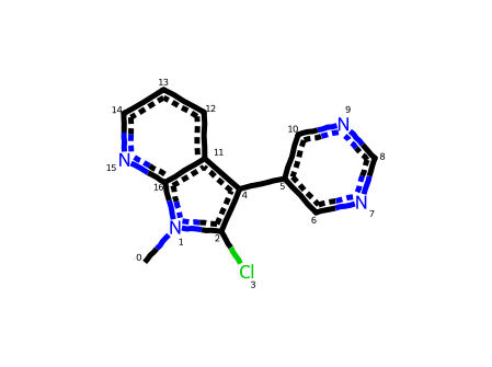 Cn1c(Cl)c(-c2cncnc2)c2cccnc21